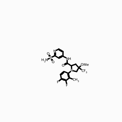 COC1(C(F)(F)F)CC(C(=O)Nc2ccnc(S(N)(=O)=O)c2)N(c2ccc(F)c(F)c2C)C1